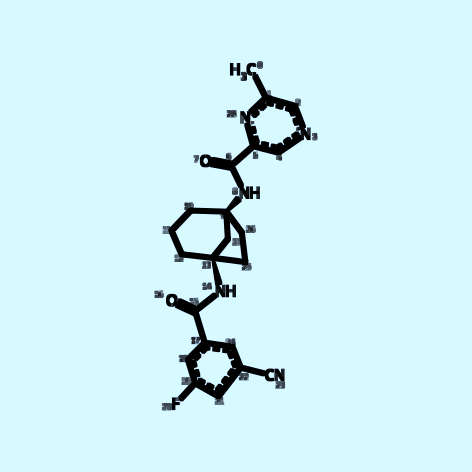 Cc1cncc(C(=O)N[C@@]23CCC[C@@](NC(=O)c4cc(F)cc(C#N)c4)(CC2)C3)n1